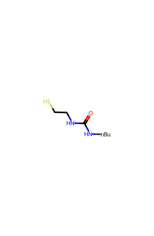 CCCCNC(=O)NCCS